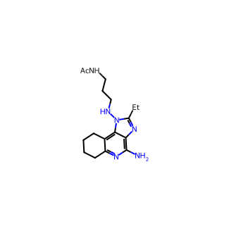 CCc1nc2c(N)nc3c(c2n1NCCCNC(C)=O)CCCC3